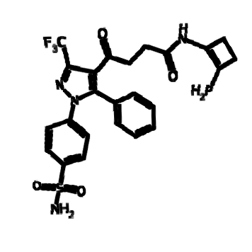 NS(=O)(=O)c1ccc(-n2nc(C(F)(F)F)c(C(=O)CCC(=O)NC3=C(P)CC3)c2-c2ccccc2)cc1